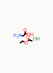 CCOC(C)=O.Cl.NCC(=O)O